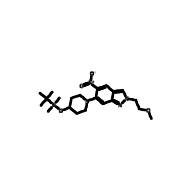 COCCn1cc2cc([N+](=O)[O-])c(N3CCC(O[Si](C)(C)C(C)(C)C)CC3)cc2n1